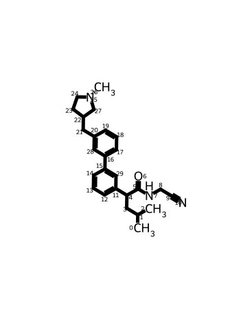 CC(C)CC(C(=O)NCC#N)c1cccc(-c2cccc(CC3CCN(C)C3)c2)c1